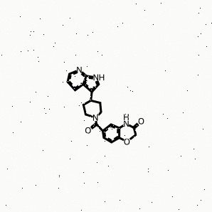 O=C1COc2ccc(C(=O)N3CCC(c4c[nH]c5ncccc45)CC3)cc2N1